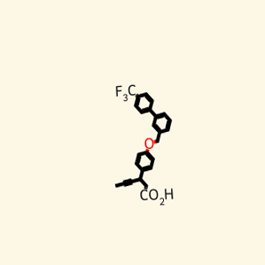 CC#CC(CC(=O)O)c1ccc(OCc2cccc(-c3ccc(C(F)(F)F)cc3)c2)cc1